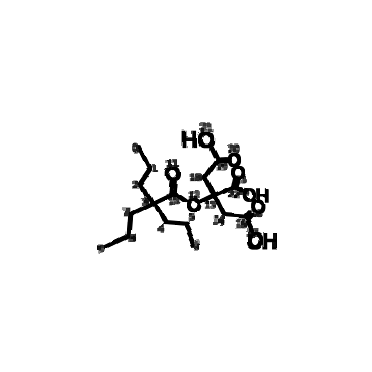 CCCC(CCC)(CCC)C(=O)OC(CC(=O)O)(CC(=O)O)C(=O)O